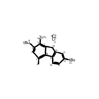 Cc1cc(C(C)(C)C)[c]([Zr+2])c2c1-c1ccc(C(C)(C)C)cc1C2.[Cl-].[Cl-]